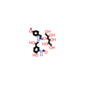 COc1ccc(C[C@@H](C)NC[C@H](O)c2ccc(O)c(NC=O)c2)cc1.OC[C@@H](O)[C@@H](O)[C@H](O)[C@H](O)CO